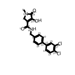 CN1CC(C(=O)NCc2ccc(-c3ccc(Cl)c(Cl)c3)cc2)=C(O)C1=O